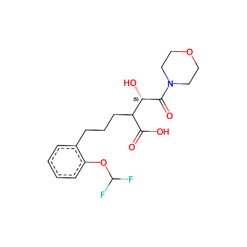 O=C(O)C(CCCc1ccccc1OC(F)F)[C@H](O)C(=O)N1CCOCC1